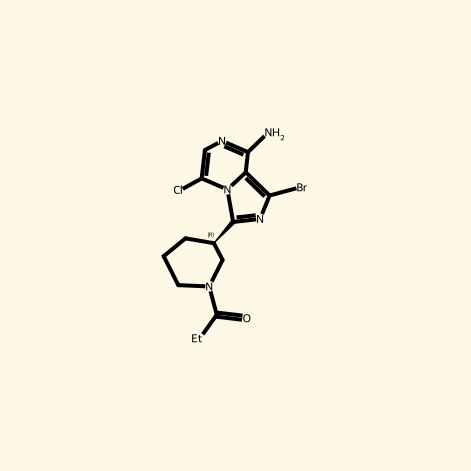 CCC(=O)N1CCC[C@@H](c2nc(Br)c3c(N)ncc(Cl)n23)C1